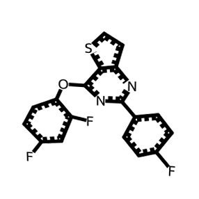 Fc1ccc(-c2nc(Oc3ccc(F)cc3F)c3sccc3n2)cc1